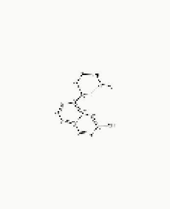 CC1CN(c2cccc3ccc(O)cc23)CCN1